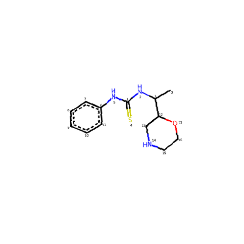 CC(NC(=S)Nc1ccccc1)C1CNCCO1